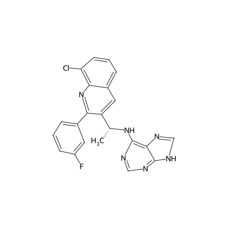 C[C@@H](Nc1ncnc2[nH]cnc12)c1cc2cccc(Cl)c2nc1-c1cccc(F)c1